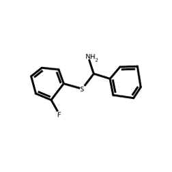 NC(Sc1ccccc1F)c1ccccc1